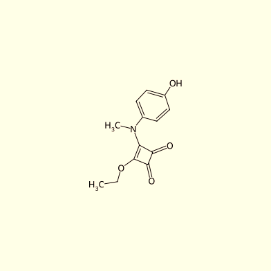 CCOc1c(N(C)c2ccc(O)cc2)c(=O)c1=O